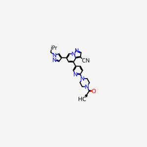 C#CC(=O)N1CCN(c2ccc(-c3cc(-c4cnn(CC(C)C)c4)cn4ncc(C#N)c34)cn2)CC1